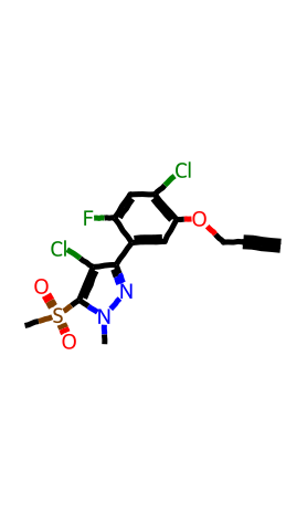 C#CCOc1cc(-c2nn(C)c(S(C)(=O)=O)c2Cl)c(F)cc1Cl